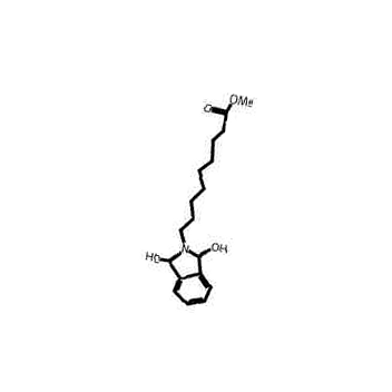 COC(=O)CCCCCCCCN1C(O)c2ccccc2C1O